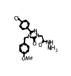 COc1ccc(Cn2c(-c3ccc(Cl)cc3)nn(CC(=O)NN)c2=O)cc1